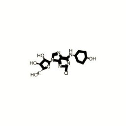 OC[C@H]1O[C@@H](n2cnc3c(N[C@H]4CC[C@H](O)CC4)nc(Cl)nc32)[C@H](O)[C@@H]1O